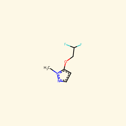 Cn1n[c]cc1OCC(F)F